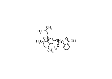 CC(C)CCc1cc(NC(=O)Oc2ccccc2C(=O)O)cc2c1C(C)(C)CCC2(C)C